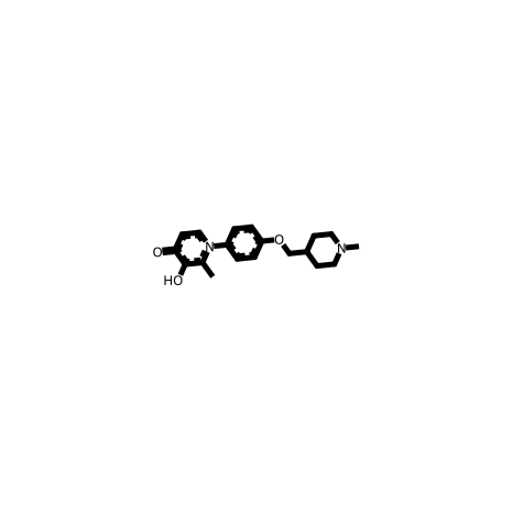 Cc1c(O)c(=O)ccn1-c1ccc(OCC2CCN(C)CC2)cc1